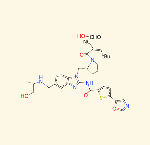 C[C@@H](CO)NCc1ccc2c(c1)nc(NC(=O)c1ccc(-c3cnco3)s1)n2C[C@H]1CCCN1C(=O)C(C#N)=CC(C)(C)C.O=CO